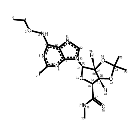 CCONc1nc(I)nc2c1ncn2[C@@H]1O[C@H](C(=O)NC)[C@H]2OC(C)(C)O[C@H]21